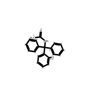 CC(=O)NC(c1ccccc1)(c1ccccc1)c1ccccc1Cl